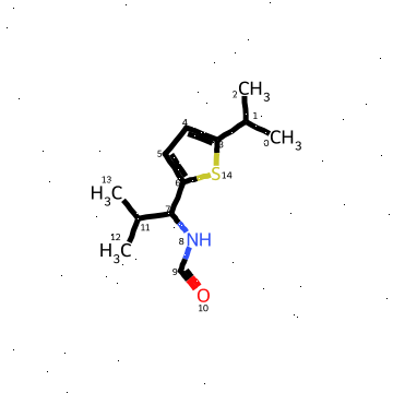 CC(C)c1ccc(C(NC=O)C(C)C)s1